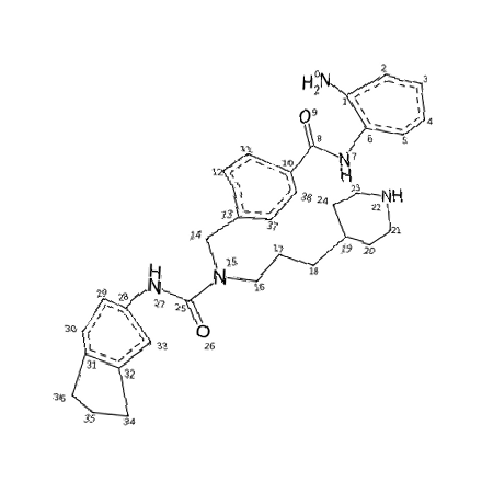 Nc1ccccc1NC(=O)c1ccc(CN(CCCC2CCNCC2)C(=O)Nc2ccc3c(c2)CCC3)cc1